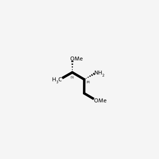 COC[C@@H](N)[C@H](C)OC